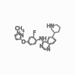 Cn1ccc(Oc2ccc(Nc3ncnc4ccc(C5CCCNC5)cc34)c(F)c2)n1